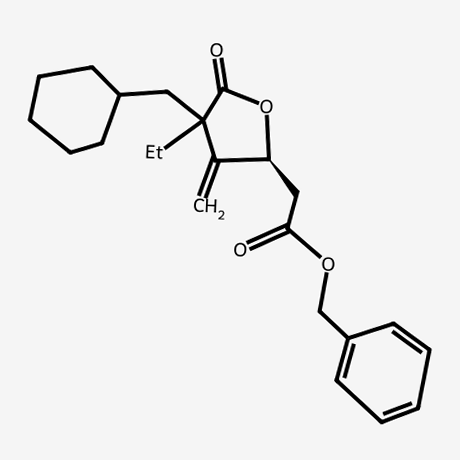 C=C1[C@H](CC(=O)OCc2ccccc2)OC(=O)C1(CC)CC1CCCCC1